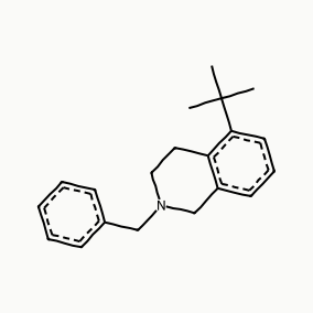 CC(C)(C)c1cccc2c1CCN(Cc1ccccc1)C2